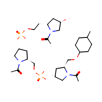 CCC(=O)N1C[C@H](O)C[C@H]1CCOP(=O)(O)O[C@@H]1C[C@@H](COP(=O)(O)O[C@@H]2C[C@@H](COC3CCC(C(C)C)CC3)N(C(=O)CC)C2)N(C(=O)CC)C1